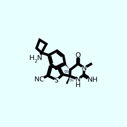 CN1C(=N)N[C@](C)(c2ccc(C#N)s2)[C@H](c2ccc(C3(N)CCC3)cc2)C1=O